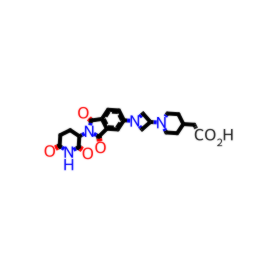 O=C(O)CC1CCN(C2CN(c3ccc4c(c3)C(=O)N(C3CCC(=O)NC3=O)C4=O)C2)CC1